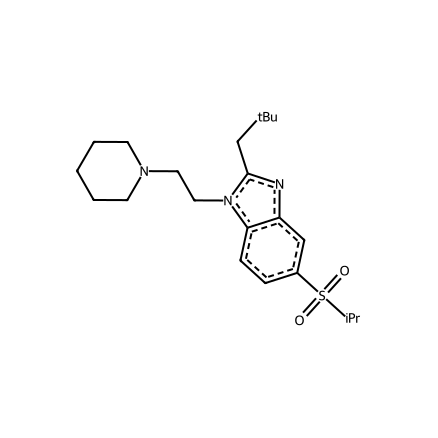 CC(C)S(=O)(=O)c1ccc2c(c1)nc(CC(C)(C)C)n2CCN1CCCCC1